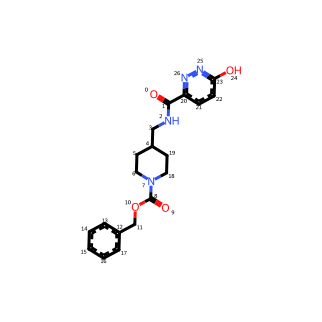 O=C(NCC1CCN(C(=O)OCc2ccccc2)CC1)c1ccc(O)nn1